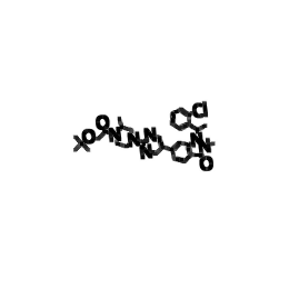 CC1CN(c2ncc(-c3ccc4c(=O)n(C)n(C(C)c5ccccc5Cl)c4c3)cn2)CCN1C(=O)COC(C)(C)C